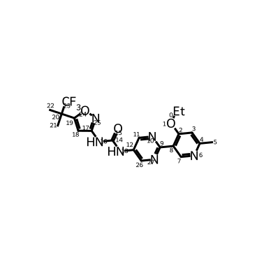 CCOc1cc(C)ncc1-c1ncc(NC(=O)Nc2cc(C(C)(C)C(F)(F)F)on2)cn1